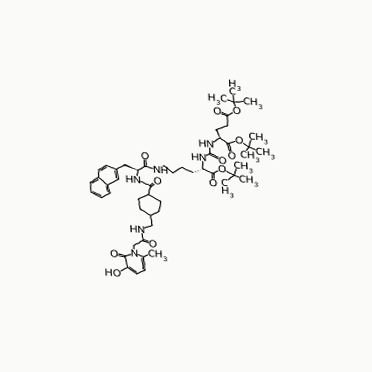 Cc1ccc(O)c(=O)n1CC(=O)NCC1CCC(C(=O)N[C@@H](Cc2ccc3ccccc3c2)C(=O)NCCCC[C@H](NC(=O)N[C@@H](CCC(=O)OC(C)(C)C)C(=O)OC(C)(C)C)C(=O)OC(C)(C)C)CC1